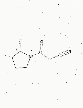 [CH2][C@H]1CCCN1C(=O)CC#N